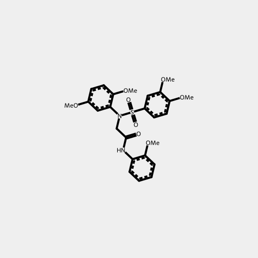 COc1ccc(OC)c(N(CC(=O)Nc2ccccc2OC)S(=O)(=O)c2ccc(OC)c(OC)c2)c1